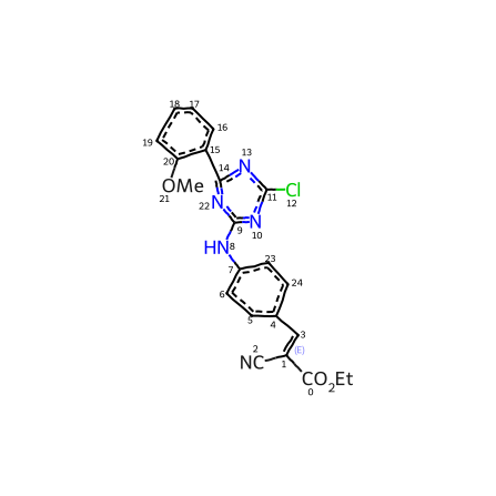 CCOC(=O)/C(C#N)=C/c1ccc(Nc2nc(Cl)nc(-c3ccccc3OC)n2)cc1